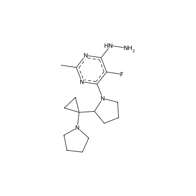 Cc1nc(NN)c(F)c(N2CCCC2C2(N3CCCC3)CC2)n1